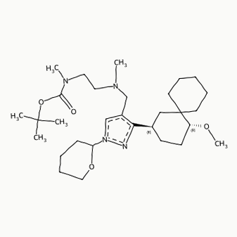 CO[C@@H]1CC[C@@H](c2nn(C3CCCCO3)cc2CN(C)CCN(C)C(=O)OC(C)(C)C)CC12CCCCC2